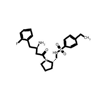 CCc1ccc(S(=O)(=O)NC[C@@H]2CCCN2C(=O)C[C@H](N)Cc2ccccc2F)cc1